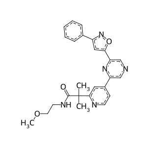 COCCNC(=O)C(C)(C)c1cc(-c2cncc(-c3cc(-c4ccccc4)no3)n2)ccn1